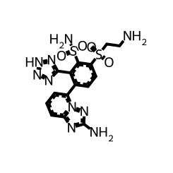 NCCS(=O)(=O)c1ccc(-c2cccc3nc(N)nn23)c(-c2nn[nH]n2)c1S(N)(=O)=O